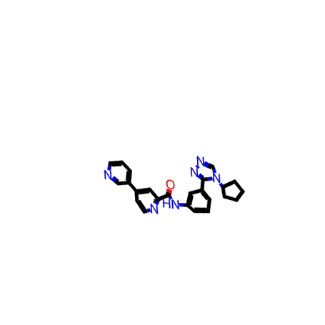 O=C(Nc1cccc(-c2nncn2C2CCCC2)c1)c1cc(-c2cccnc2)ccn1